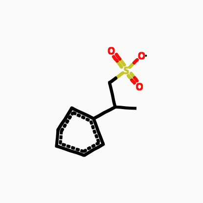 CC(CS([O])(=O)=O)c1ccccc1